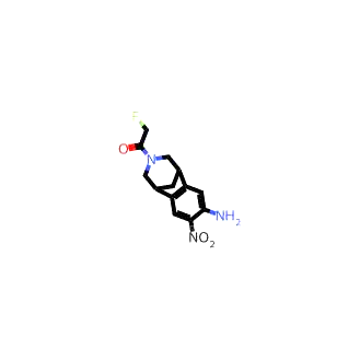 Nc1cc2c(cc1[N+](=O)[O-])C1CC2CN(C(=O)CF)C1